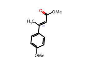 COC(=O)/C=C(\C)c1ccc(OC)cc1